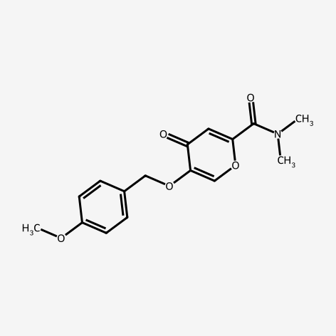 COc1ccc(COc2coc(C(=O)N(C)C)cc2=O)cc1